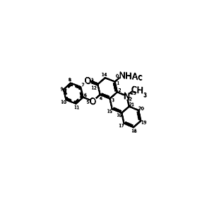 CC(=O)NC1=C2C(=C(Oc3ccccc3)C(=O)C1)C=C1C=CC=CC1N2C